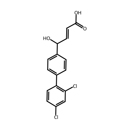 O=C(O)/C=C/C(O)c1ccc(-c2ccc(Cl)cc2Cl)cc1